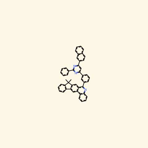 CC1(C)c2ccccc2-c2cc3c(cc21)c(-c1cccc(-c2cc(-c4ccc5ccccc5c4)nc(-c4ccccc4)n2)c1)nc1ccccc13